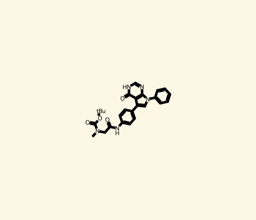 CN(CC(=O)Nc1ccc(-c2cn(-c3ccccc3)c3nc[nH]c(=O)c23)cc1)C(=O)OC(C)(C)C